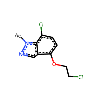 CC(=O)n1ncc2c(OCCCl)ccc(Cl)c21